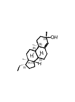 CC[C@H]1CC[C@H]2[C@@H]3CCC4=C[C@@](C)(O)CC[C@]4(C)[C@@H]3CC[C@]12C